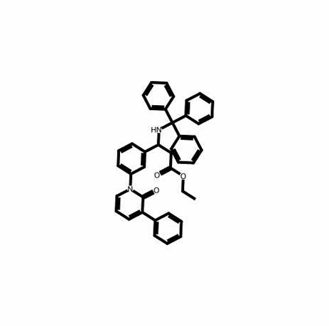 CCOC(=O)CC(NC(c1ccccc1)(c1ccccc1)c1ccccc1)c1cccc(-n2cccc(-c3ccccc3)c2=O)c1